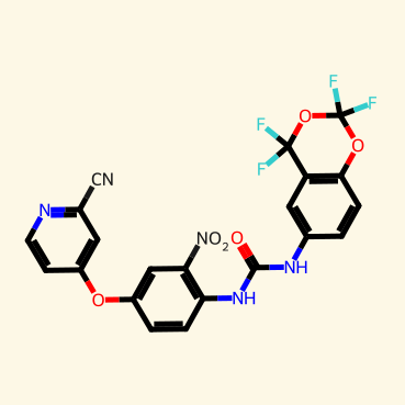 N#Cc1cc(Oc2ccc(NC(=O)Nc3ccc4c(c3)C(F)(F)OC(F)(F)O4)c([N+](=O)[O-])c2)ccn1